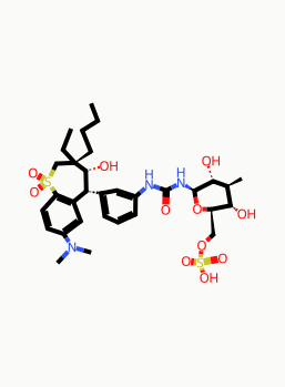 CCCC[C@]1(CC)CS(=O)(=O)c2ccc(N(C)C)cc2[C@@H](c2cccc(NC(=O)N[C@@H]3O[C@H](COS(=O)(=O)O)[C@@H](O)[C@H](C)[C@H]3O)c2)[C@H]1O